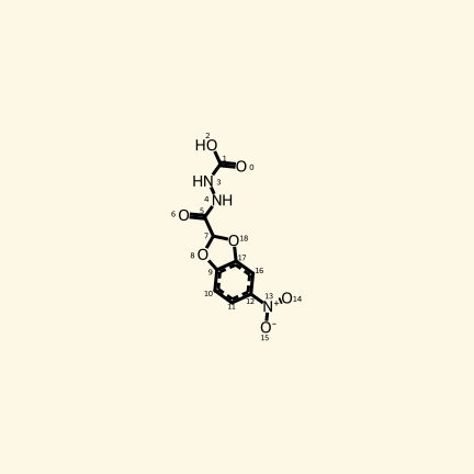 O=C(O)NNC(=O)C1Oc2ccc([N+](=O)[O-])cc2O1